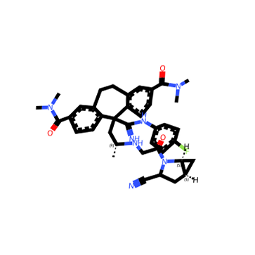 C[C@H](CC1(C(=N)Nc2ccc(F)cc2)c2ccc(C(=O)N(C)C)cc2CCc2cc(C(=O)N(C)C)ccc21)NCC(=O)N1C(C#N)C[C@@H]2C[C@@H]21